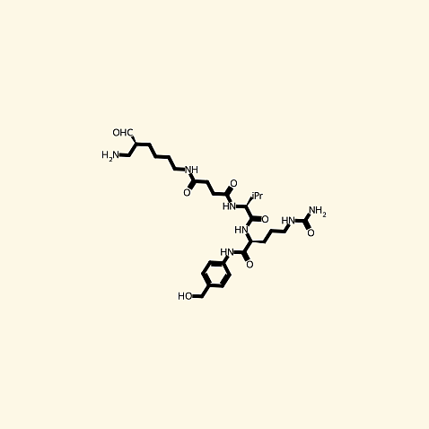 CC(C)[C@H](NC(=O)CCC(=O)NCCCC[C@H](C=O)CN)C(=O)N[C@@H](CCCNC(N)=O)C(=O)Nc1ccc(CO)cc1